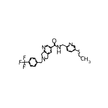 CCSc1ccc(CNC(=O)c2cnc3c(c2)CN(Cc2ccc(C(F)(F)F)cc2)C3)nc1